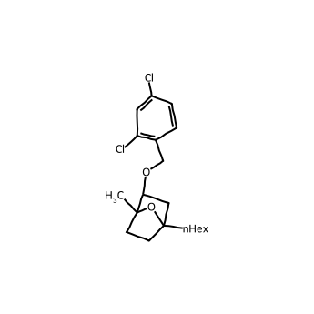 CCCCCCC12CCC(C)(O1)C(OCc1ccc(Cl)cc1Cl)C2